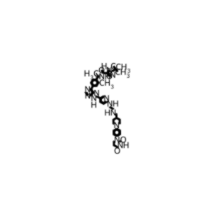 Cc1cc(-c2ncnc3[nH]c(-c4ccc(NCCNCC5CCN(c6ccc(N7CCC(=O)NC7=O)cc6)CC5)nc4)nc23)ccc1[C@@H](C)NC(=O)c1nc(C(C)(C)C)no1